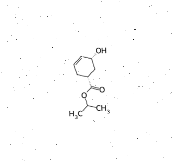 CC(C)OC(=O)[C@@H]1CC=C[C@H](O)C1